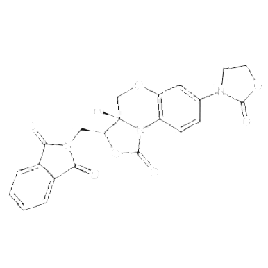 O=C1c2ccccc2C(=O)N1C[C@@H]1OC(=O)N2c3ccc(N4CCOC4=O)cc3OC[C@@H]12